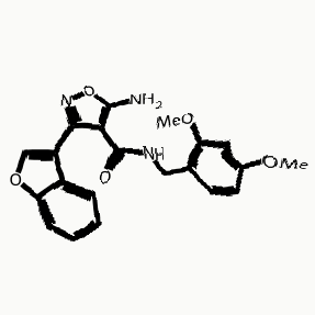 COc1ccc(CNC(=O)c2c(-c3coc4ccccc34)noc2N)c(OC)c1